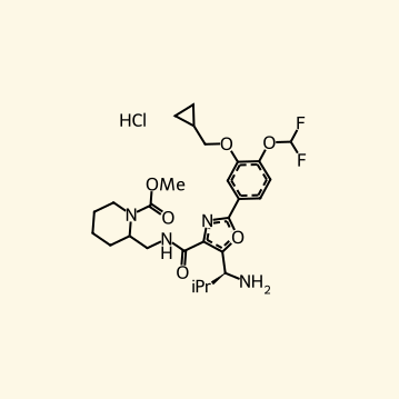 COC(=O)N1CCCCC1CNC(=O)c1nc(-c2ccc(OC(F)F)c(OCC3CC3)c2)oc1[C@@H](N)C(C)C.Cl